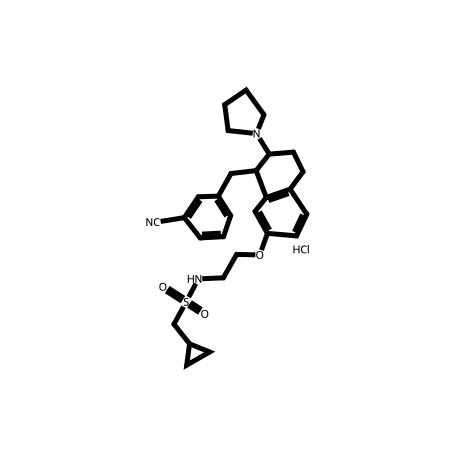 Cl.N#Cc1cccc(CC2c3cc(OCCNS(=O)(=O)CC4CC4)ccc3CCC2N2CCCC2)c1